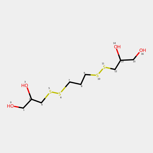 OCC(O)CSSCCCSSCC(O)CO